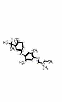 CCN(C)/C=N/c1cc(C)c(Oc2ccc(Cl)c(C(C)(C)C)c2)cc1C